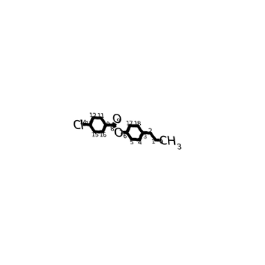 CCCC1CCC(OC(=O)C2CCC(Cl)CC2)CC1